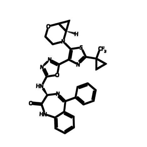 O=C1Nc2ccccc2C(c2ccccc2)=N[C@@H]1Nc1nnc(-c2nc(C3(C(F)(F)F)CC3)sc2N2CCOC3C[C@H]32)o1